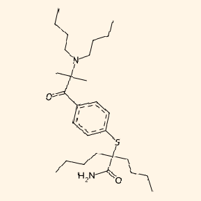 CCCCN(CCCC)C(C)(C)C(=O)c1ccc(SC(CCCC)(CCCC)C(N)=O)cc1